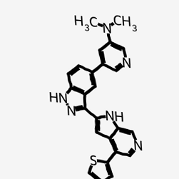 CN(C)c1cncc(-c2ccc3[nH]nc(-c4cc5c(-c6cccs6)cncc5[nH]4)c3c2)c1